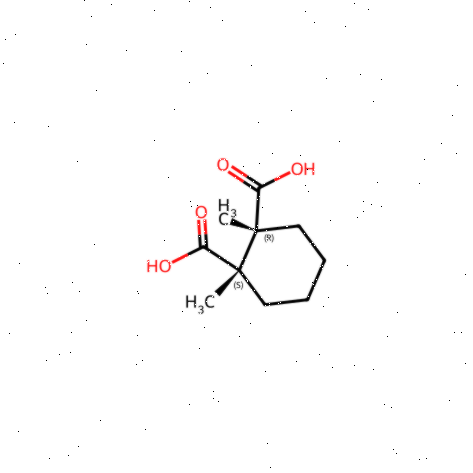 C[C@@]1(C(=O)O)CCCC[C@]1(C)C(=O)O